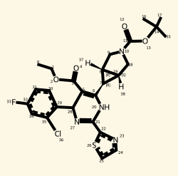 CCOC(=O)C1=C([C@H]2[C@@H]3CN(C(=O)OC(C)(C)C)C[C@@H]32)NC(c2nccs2)=NC1c1ccc(F)cc1Cl